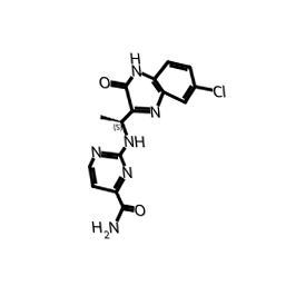 C[C@H](Nc1nccc(C(N)=O)n1)c1nc2cc(Cl)ccc2[nH]c1=O